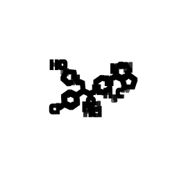 C[C@@H]1CCc2ncnc(N3CCN(C(=O)C(CN4CC[C@H](O)C4)c4ccc(Cl)cc4)CC3)c21.Cl.Cl